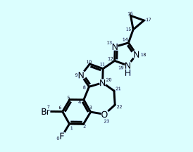 Fc1cc2c(cc1Br)-c1ncc(-c3nc(C4CC4)n[nH]3)n1CCO2